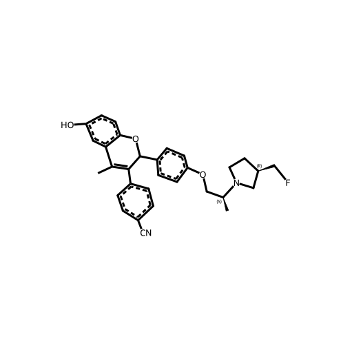 CC1=C(c2ccc(C#N)cc2)C(c2ccc(OC[C@H](C)N3CC[C@@H](CF)C3)cc2)Oc2ccc(O)cc21